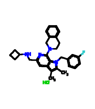 Cc1c(C)n(Cc2cccc(F)c2)c2c(N3CCc4ccccc4C3)nc(CNC3CCC3)cc12.Cl